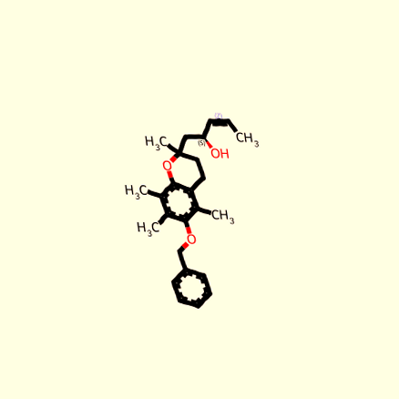 C/C=C\[C@@H](O)CC1(C)CCc2c(C)c(OCc3ccccc3)c(C)c(C)c2O1